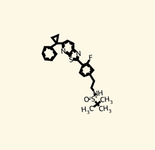 CC(C)(C)[S@+]([O-])NCCc1ccc(-c2nc3ccc(C4(c5ccccc5)CC4)nc3s2)c(F)c1